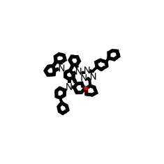 c1ccc(-c2ccc(-c3nc(-c4ccccc4)nc(-n4c5ccccc5c5c(-n6c7ccccc7c7ccccc76)cc6c(c7ccccc7n6-c6cccc(-c7ccccc7)c6)c54)n3)cc2)cc1